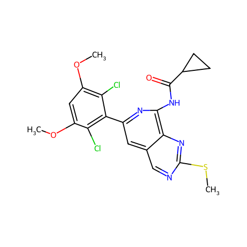 COc1cc(OC)c(Cl)c(-c2cc3cnc(SC)nc3c(NC(=O)C3CC3)n2)c1Cl